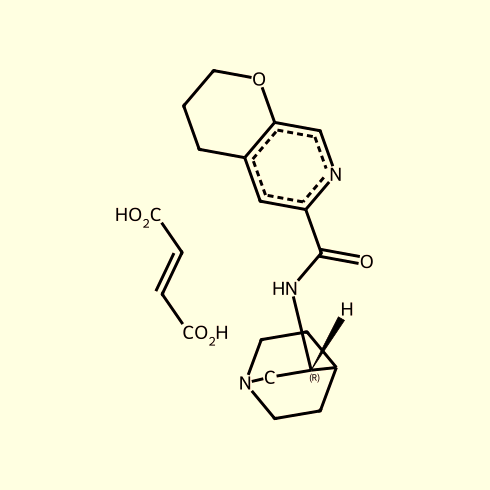 O=C(N[C@H]1CN2CCC1CC2)c1cc2c(cn1)OCCC2.O=C(O)C=CC(=O)O